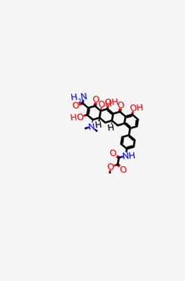 COC(=O)C(=O)Nc1ccc(-c2ccc(O)c3c2C[C@H]2C[C@@H]4[C@H](N(C)C)C(O)=C(C(N)=O)C(=O)[C@]4(O)C(O)=C2C3=O)cc1